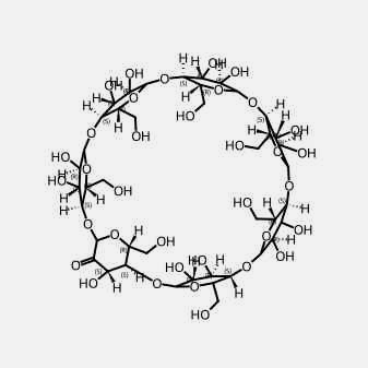 O=C1C2O[C@H]3[C@H](O)[C@@H](O)C(O[C@H]4[C@H](O)[C@@H](O)C(O[C@H]5[C@H](O)[C@@H](O)C(O[C@H]6[C@H](O)[C@@H](O)C(O[C@@H]6CO)O[C@H]6C(O)[C@@H](O)C(O[C@@H]7C(CO)OC(O[C@@H]([C@@H]1O)[C@@H](CO)O2)[C@H](O)[C@H]7O)O[C@@H]6CO)O[C@@H]5CO)O[C@@H]4CO)O[C@@H]3CO